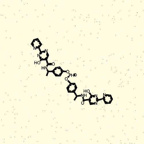 CC(NC(=O)c1cnc(-c2ccccn2)nc1O)c1ccc(O[PH](=O)Oc2ccc(C(C)NC(=O)c3cnc(-c4ccccn4)nc3O)cc2)cc1